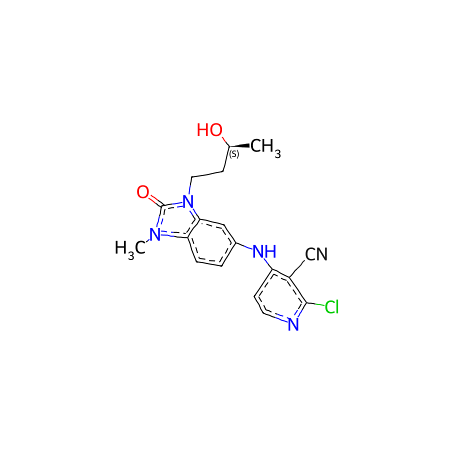 C[C@H](O)CCn1c(=O)n(C)c2ccc(Nc3ccnc(Cl)c3C#N)cc21